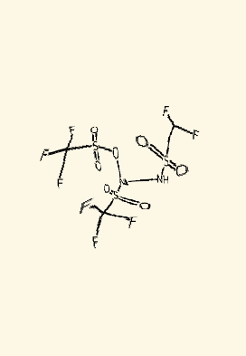 O=S(=O)(NN(OS(=O)(=O)C(F)(F)F)S(=O)(=O)C(F)(F)F)C(F)F